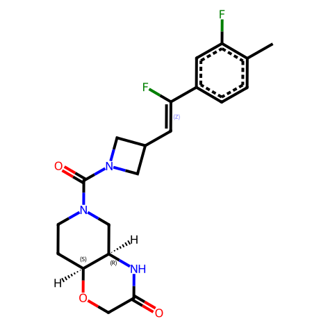 Cc1ccc(/C(F)=C/C2CN(C(=O)N3CC[C@@H]4OCC(=O)N[C@@H]4C3)C2)cc1F